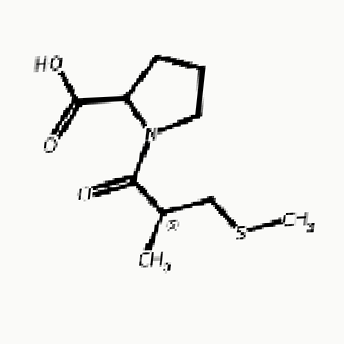 CSC[C@@H](C)C(=O)N1CCCC1C(=O)O